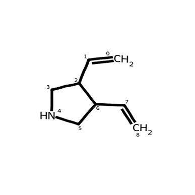 C=CC1CNCC1C=C